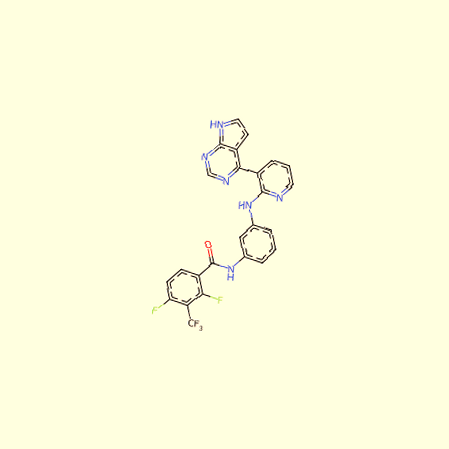 O=C(Nc1cccc(Nc2ncccc2-c2ncnc3[nH]ccc23)c1)c1ccc(F)c(C(F)(F)F)c1F